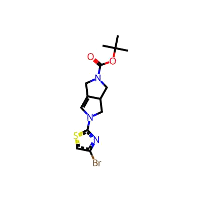 CC(C)(C)OC(=O)N1CC2=CN(c3nc(Br)cs3)CC2C1